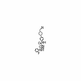 N#CCC1CCC(c2ccc(NC(=O)c3nnc(Nc4ccccc4F)o3)cc2)CC1